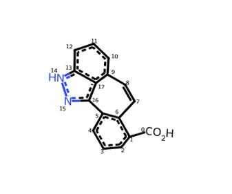 O=C(O)c1cccc2c1C=Cc1cccc3[nH]nc-2c13